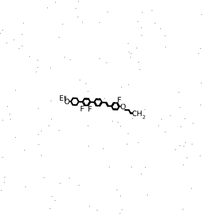 C=CCCOc1ccc(/C=C/c2ccc(-c3ccc(C4CCC(OCC)CC4)c(F)c3F)cc2)cc1F